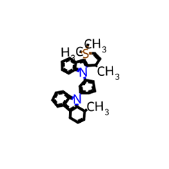 CC1C=CCc2c1n(-c1cccc(-n3c4c(c5ccccc53)S(C)(C)C=C[C@H]4C)c1)c1ccccc21